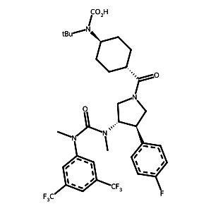 CN(C(=O)N(C)[C@@H]1CN(C(=O)[C@H]2CC[C@H](N(C(=O)O)C(C)(C)C)CC2)C[C@H]1c1ccc(F)cc1)c1cc(C(F)(F)F)cc(C(F)(F)F)c1